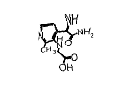 Cc1nccc(C(=N)C(N)=O)c1NCC(=O)O